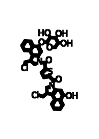 O=C(c1ccc(C(=O)N2CC(CCl)c3c2cc(OC2OCC(O)C(O)C2O)c2ccccc32)s1)N1CC(CCl)c2c1cc(O)c1ccccc21